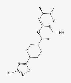 CC(C)c1noc(N2CCC([C@H](C)O/C(=N/[C@@H](C)C(C)Br)SC=N)CC2)n1